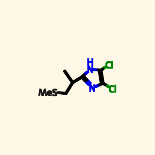 CSCC(C)c1nc(Cl)c(Cl)[nH]1